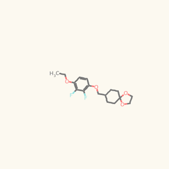 CCOc1ccc(OCC2CCC3(CC2)OCCO3)c(F)c1F